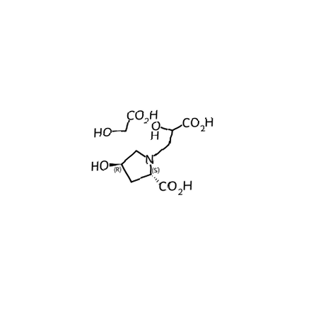 O=C(O)C(O)CN1C[C@H](O)C[C@H]1C(=O)O.O=C(O)CO